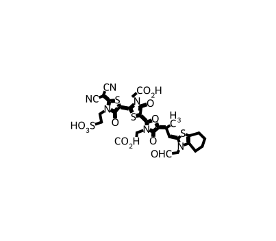 C/C(C=C1SC2=C(CCCC2)N1CC=O)=c1\o/c(=c2/s/c(=c3/sc(=C(C#N)C#N)n(CCS(=O)(=O)O)c3=O)n(CC(=O)O)c2=O)n(CC(=O)O)c1=O